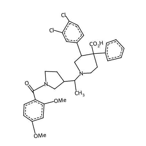 COc1ccc(C(=O)N2CCC(C(C)N3CCC(C(=O)O)(c4ccccc4)C(c4ccc(Cl)c(Cl)c4)C3)C2)c(OC)c1